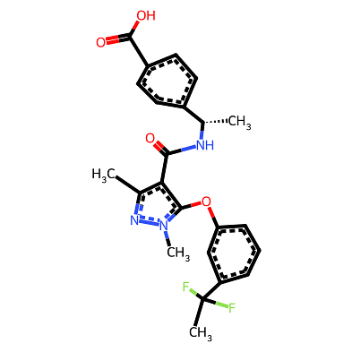 Cc1nn(C)c(Oc2cccc(C(C)(F)F)c2)c1C(=O)N[C@@H](C)c1ccc(C(=O)O)cc1